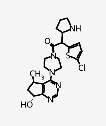 C[C@@H]1C[C@@H](O)c2ncnc(N3CCN(C(=O)C(c4ccc(Cl)s4)C4CCCN4)CC3)c21